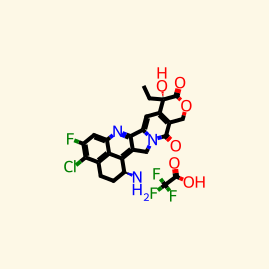 CC[C@@]1(O)C(=O)OCc2c1cc1n(c2=O)Cc2c-1nc1cc(F)c(Cl)c3c1c2[C@@H](N)CC3.O=C(O)C(F)(F)F